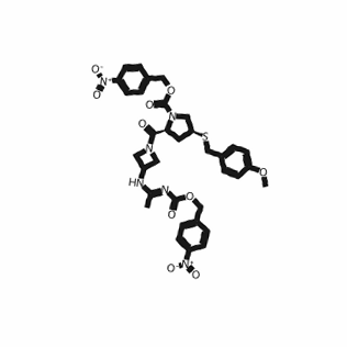 COc1ccc(CS[C@H]2C[C@@H](C(=O)N3CC(NC(C)=NC(=O)OCc4ccc([N+](=O)[O-])cc4)C3)N(C(=O)OCc3ccc([N+](=O)[O-])cc3)C2)cc1